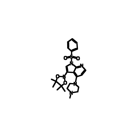 CN1CCN(c2ccnc3c2c(B2OC(C)(C)C(C)(C)O2)cn3S(=O)(=O)c2ccccc2)CC1